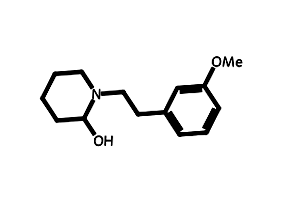 COc1cccc(CCN2CCCCC2O)c1